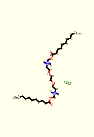 CCCCCCCCCCCCCCCCCCC(=O)OC[N+](C)(C)CCOCCOCC[N+](C)(C)COC(=O)CCCCCCCCCCCCCCCCCC.[Cl-].[Cl-]